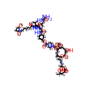 CC[C@H](O)[C@@H](C)[C@H]1O[C@@H]1CC(C)(O)/C=C/C=C(\C)[C@H]1OC(=O)C[C@H](O)CC[C@@](C)(OC)[C@@H](OC(=O)N2CCN(C(=O)OCc3ccc(NC(=O)[C@H](CCCNC(N)=O)NC(=O)[C@@H](NC(=O)CCCCCN4C(=O)CCC4=O)C(C)C)cc3)CC2)/C=C/[C@@H]1C